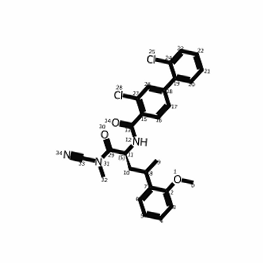 COc1ccccc1C(C)C[C@H](NC(=O)c1ccc(-c2ccccc2Cl)cc1Cl)C(=O)N(C)C#N